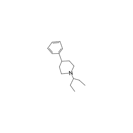 CCC(CC)N1CCC(c2ccccc2)CC1